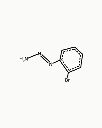 N/N=N/c1ccccc1Br